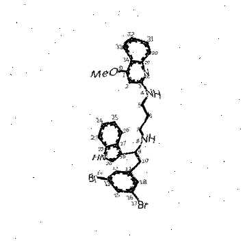 COc1cc(NCCCNC(Cc2cc(Br)cc(Br)c2)c2c[nH]c3ccccc23)nc2ccccc12